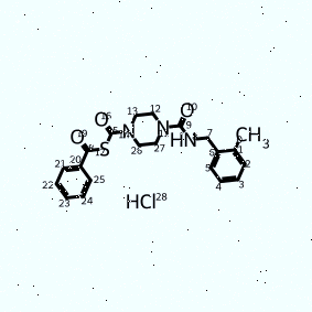 Cc1ccccc1CNC(=O)N1CCN(C(=O)SC(=O)c2ccccc2)CC1.Cl